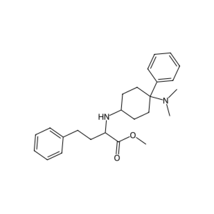 COC(=O)C(CCc1ccccc1)NC1CCC(c2ccccc2)(N(C)C)CC1